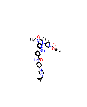 C[C@@H]1C(=O)N(C)c2ccc(Nc3cccc(C(=O)N[C@H]4CC[C@H](N5CCN(CC6CC6)CC5)CC4)c3)nc2N1C1CCN(C(=O)OC(C)(C)C)CC1